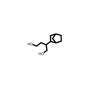 OCCC(CO)C1CC2CCC1C2